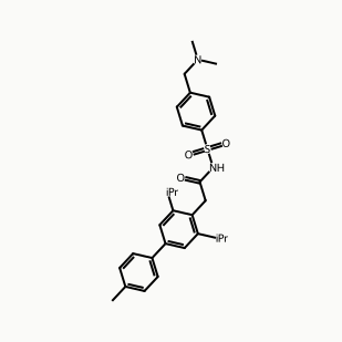 Cc1ccc(-c2cc(C(C)C)c(CC(=O)NS(=O)(=O)c3ccc(CN(C)C)cc3)c(C(C)C)c2)cc1